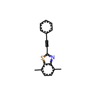 Cc1ccc(C)c2sc(C#Cc3ccccc3)nc12